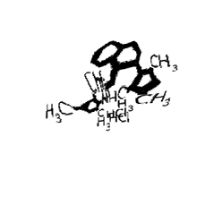 CC1=CC(C)C(c2ccc3ccccc3c2[CH2][Ti][NH]c2c(C)cc(C)cc2C)=C1C.Cl.Cl